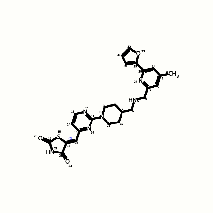 Cc1cc(CNCC2CCN(c3nccc(/C=C4\SC(=O)NC4=O)n3)CC2)nc(-c2ccco2)c1